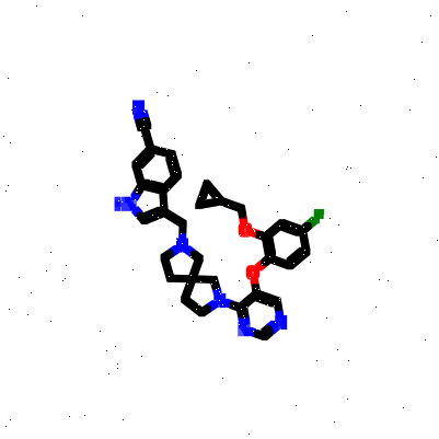 N#Cc1ccc2c(CN3CCC4(CCN(c5ncncc5Oc5ccc(F)cc5OCC5CC5)C4)C3)c[nH]c2c1